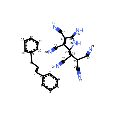 C(=C\c1ccccc1)/Cc1ccccc1.N#CC1=C(C#N)/C(=C(\C#N)C(C#N)C#N)NC1=N